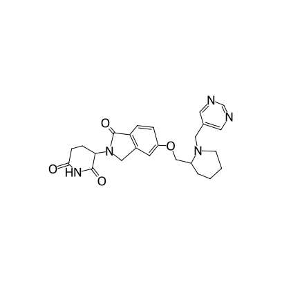 O=C1CCC(N2Cc3cc(OCC4CCCCN4Cc4cncnc4)ccc3C2=O)C(=O)N1